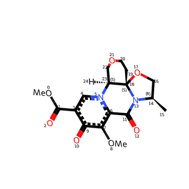 COC(=O)c1cn2c(c(OC)c1=O)C(=O)N1[C@H](C)CO[C@]13CCOC[C@H]23